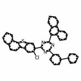 Clc1cc2c(cc1-c1nc(-c3cccc(-c4ccccc4)c3)nc(-c3cc4ccccc4c4ccccc34)n1)sc1c3ccccc3ccc21